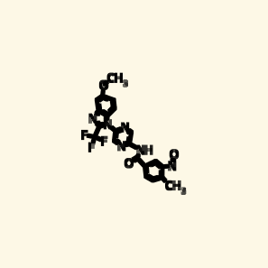 COc1ccc2c(c1)nc(C(F)(F)F)n2-c1cnc(NC(=O)c2ccc(C)c(N=O)c2)cn1